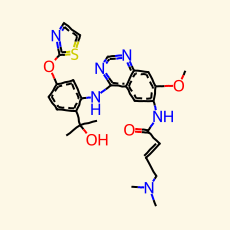 COc1cc2ncnc(Nc3cc(Oc4nccs4)ccc3C(C)(C)O)c2cc1NC(=O)/C=C/CN(C)C